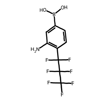 Nc1cc(B(O)O)ccc1C(F)(F)C(F)(F)C(F)(F)F